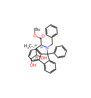 C[C@H]([C@@H](C(=O)OC(C)(C)C)N(Cc1ccccc1)C1(c2ccccc2)c2ccccc2-c2ccccc21)[C@@H](O)CO